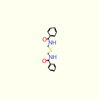 O=C(NCSCNC(=O)c1ccccc1)c1ccccc1